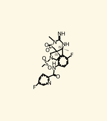 CN1C(=N)N[C@@](C)(c2cc(NC(=O)c3ccc(F)cn3)ccc2F)[C@@]2(CCN(S(C)(=O)=O)C2)S1(=O)=O